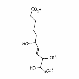 CCCCCCCCC(O)C(O)/C=C/C(O)CCCCC(=O)O